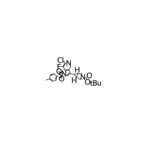 Cc1ccc(S(=O)(=O)n2cc(C3[C@H]4CN(C(=O)OC(C)(C)C)C[C@@H]34)c3cnc(Cl)c(F)c32)cc1